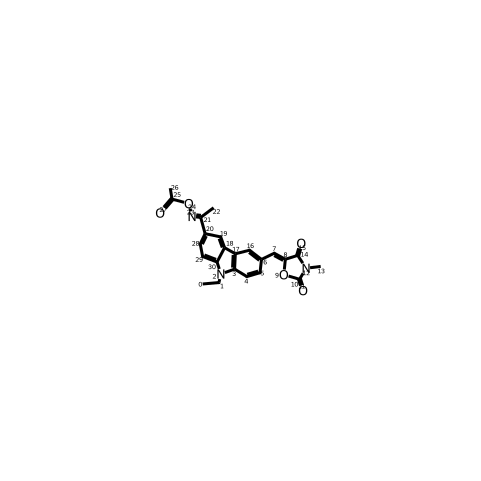 CCn1c2ccc(/C=C3\OC(=O)N(C)C3=O)cc2c2cc(/C(C)=N/OC(C)=O)ccc21